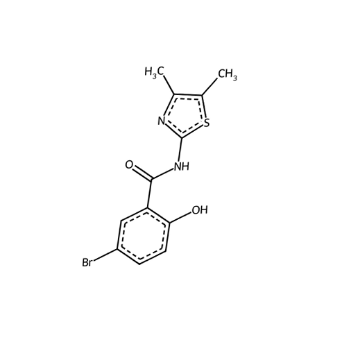 Cc1nc(NC(=O)c2cc(Br)ccc2O)sc1C